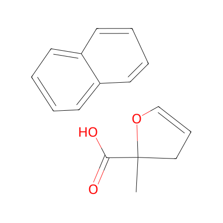 CC1(C(=O)O)CC=CO1.c1ccc2ccccc2c1